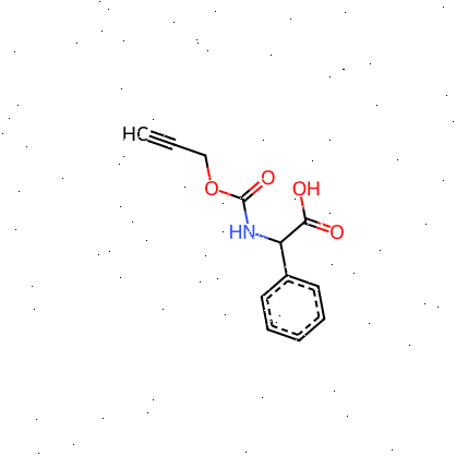 C#CCOC(=O)NC(C(=O)O)c1ccccc1